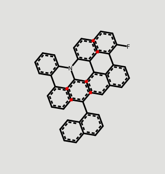 Fc1ccccc1-c1cccc2cccc(-c3ccccc3N(c3ccc(-c4cccc5ccccc45)cc3)c3ccccc3-c3ccccc3)c12